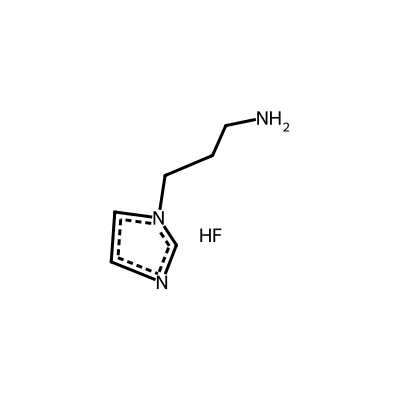 F.NCCCn1ccnc1